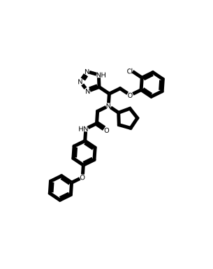 O=C(CN(C1CCCC1)C(COc1ccccc1Cl)c1nnn[nH]1)Nc1ccc(Oc2ccccc2)cc1